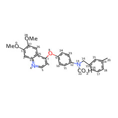 COc1cc2nccc(Oc3ccc(N(Cc4cccc(C)c4)C(=O)O)cc3)c2cc1OC